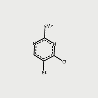 CCc1cnc(SC)nc1Cl